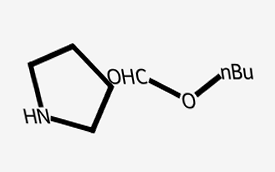 C1CCNC1.CCCCOC=O